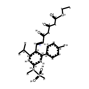 CCOC(=O)CC(=O)CC(=O)/C=C/c1c(-c2ccc(F)cc2)nc(N(C)S(C)(=O)=O)nc1C(C)C